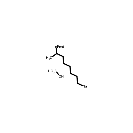 CCCCCC(C)CCCCC[CH2][Na].O=S(=O)(O)O